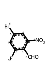 O=Cc1c(F)cc(Br)cc1[N+](=O)[O-]